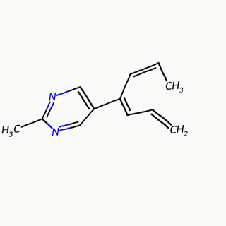 C=C/C=C(\C=C/C)c1cnc(C)nc1